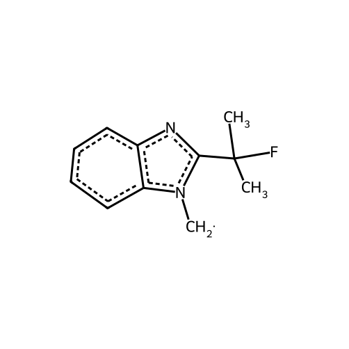 [CH2]n1c(C(C)(C)F)nc2ccccc21